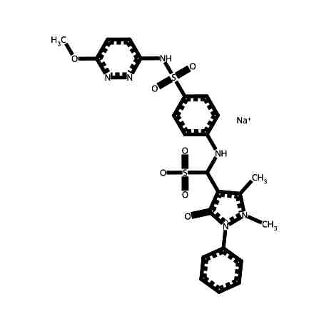 COc1ccc(NS(=O)(=O)c2ccc(NC(c3c(C)n(C)n(-c4ccccc4)c3=O)S(=O)(=O)[O-])cc2)nn1.[Na+]